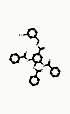 O=C(OCc1cccc(O)c1)c1cc(OC(=O)c2ccccc2)c(OC(=O)c2ccccc2)c(OC(=O)c2ccccc2)c1